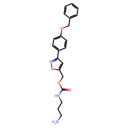 NCCCNC(=O)OCc1cc(-c2ccc(OCc3ccccc3)cc2)no1